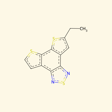 CCc1cc2c3nsnc3c3ccsc3c2s1